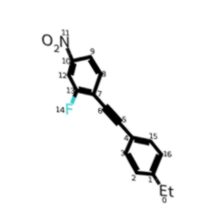 CCc1ccc(C#Cc2ccc([N+](=O)[O-])cc2F)cc1